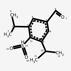 CC(C)c1cc(C=O)cc(C(C)C)c1[SH](=O)=O